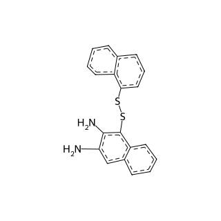 Nc1cc2ccccc2c(SSc2cccc3ccccc23)c1N